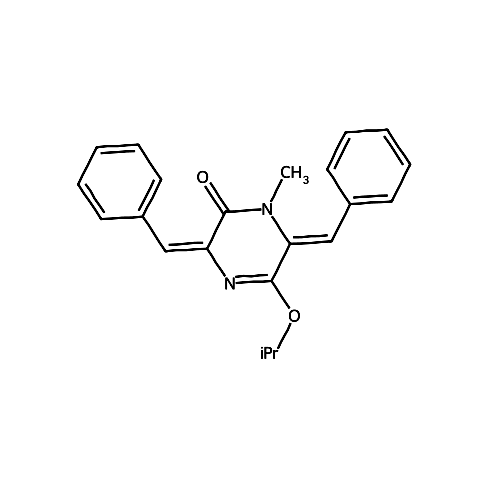 CC(C)Oc1nc(=Cc2ccccc2)c(=O)n(C)c1=Cc1ccccc1